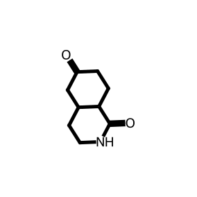 O=C1CCC2C(=O)NCCC2C1